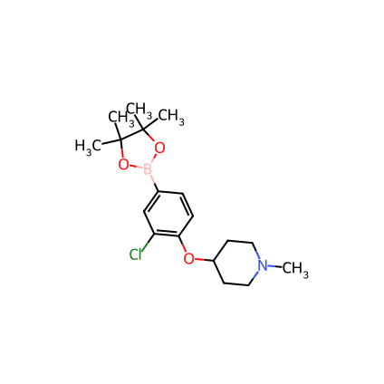 CN1CCC(Oc2ccc(B3OC(C)(C)C(C)(C)O3)cc2Cl)CC1